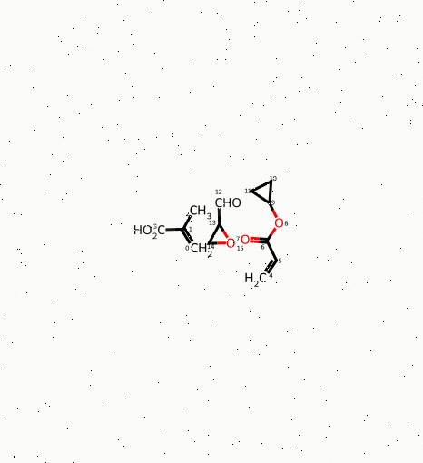 C=C(C)C(=O)O.C=CC(=O)OC1CC1.O=CC1CO1